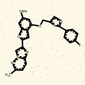 COc1cc(OCc2csc(-c3ccc(F)cc3)n2)c2cc(-c3cn4nc(C)ccc4n3)oc2c1